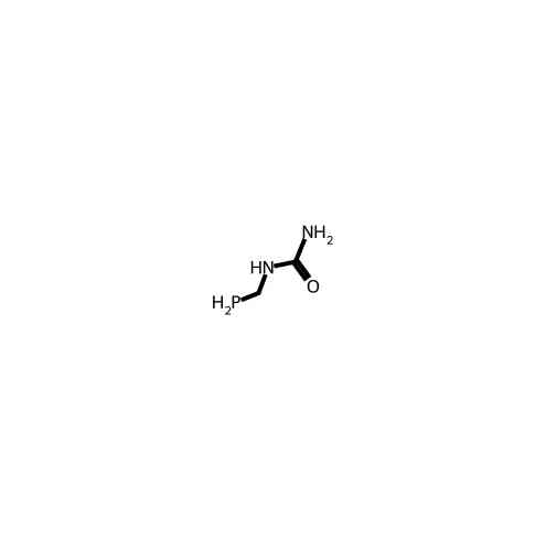 NC(=O)NCP